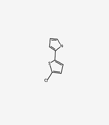 Clc1ccc(C2=CC=C[N]2)s1